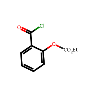 CCOC(=O)Oc1ccccc1C(=O)Cl